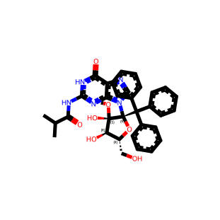 CO[C@@]1(O)[C@H](O)[C@@H](CO)O[C@]1(n1cnc2c(=O)[nH]c(NC(=O)C(C)C)nc21)C(c1ccccc1)(c1ccccc1)c1ccccc1